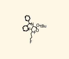 CC(C)(C)OC(=O)C(N=C(c1ccccc1)c1ccccc1)C(F)C(F)CCCF